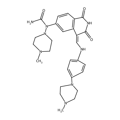 CN1CCN(c2ccc(N/C=C3\C(=O)NC(=O)c4ccc(N(C(N)=O)N5CCN(C)CC5)cc43)cc2)CC1